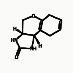 O=C1N[C@@H]2COC3=C(CC=CC3)[C@@H]2N1